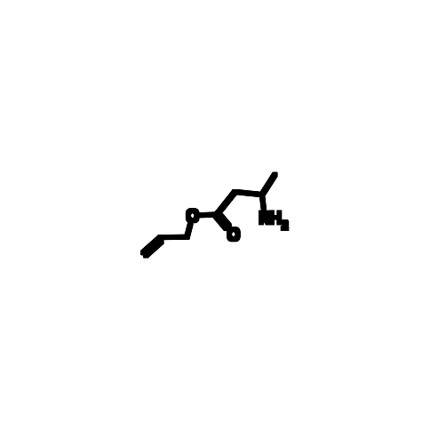 C=CCOC(=O)CC(C)N